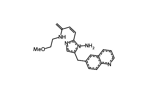 C=C(/C=C\c1ncc(Cc2ccc3ncccc3c2)n1N)NCCOC